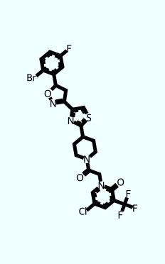 O=C(Cn1cc(Cl)cc(C(F)(F)F)c1=O)N1CCC(c2nc(C3=NOC(c4cc(F)ccc4Br)C3)cs2)CC1